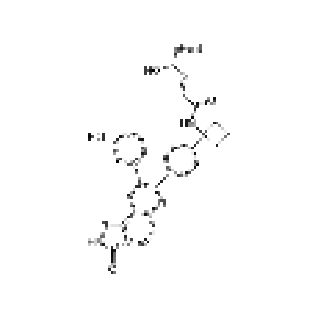 CCCCCC(O)/C=C/C(=O)NC1(c2ccc(-c3nc4ccn5c(=O)[nH]nc5c4cc3-c3ccccc3)cc2)CCC1.Cl